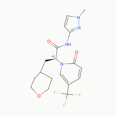 Cn1ccc(NC(=O)[C@H](CC2CCOCC2)n2cc(C(F)(F)F)ccc2=O)n1